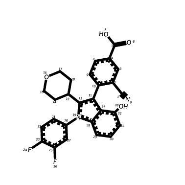 N#Cc1cc(C(=O)O)ccc1-c1c(C2CCOCC2)n(-c2ccc(F)c(F)c2)c2cccc(O)c12